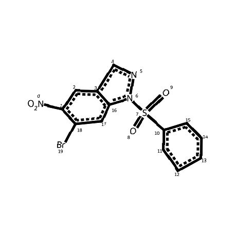 O=[N+]([O-])c1cc2cnn(S(=O)(=O)c3ccccc3)c2cc1Br